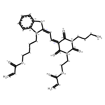 C=CC(=O)OCCCCN1/C(=C\C=C2/C(=O)N(CCCC)C(=O)N(CCOC(=O)C=C)C2=O)Oc2ccccc21